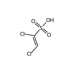 O=S(=O)(O)C(Cl)=CCl